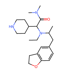 CCN(C(C)Cc1ccc2c(c1)CCO2)C(C(=O)N(C)C)C1CCNCC1